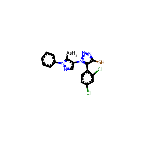 Sc1nnn(-c2cnn(-c3ccccc3)c2[AsH2])c1-c1ccc(Cl)cc1Cl